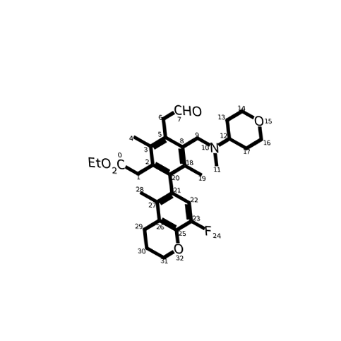 CCOC(=O)Cc1c(C)c(CC=O)c(CN(C)C2CCOCC2)c(C)c1-c1cc(F)c2c(c1C)CCCO2